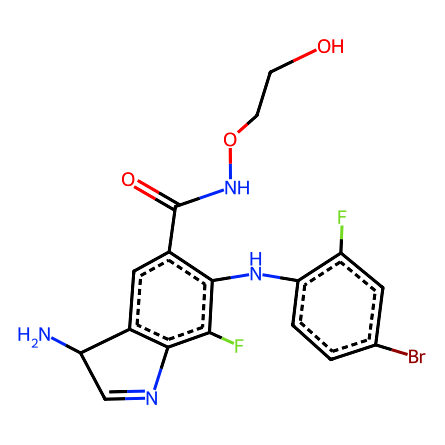 NC1C=Nc2c1cc(C(=O)NOCCO)c(Nc1ccc(Br)cc1F)c2F